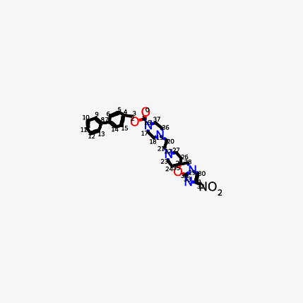 O=C(OCc1ccc(-c2ccccc2)cc1)N1CCN(CCN2CCC3(CC2)Cn2cc([N+](=O)[O-])nc2O3)CC1